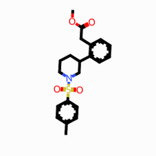 COC(=O)Cc1ccccc1C1CCCN(S(=O)(=O)c2ccc(C)cc2)C1